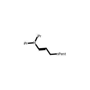 CCCCCCC=CN(C(C)C)C(C)C